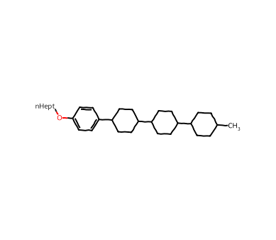 [CH2+][CH-]CCCCCOc1ccc(C2CCC(C3CCC(C4CCC(C)CC4)CC3)CC2)cc1